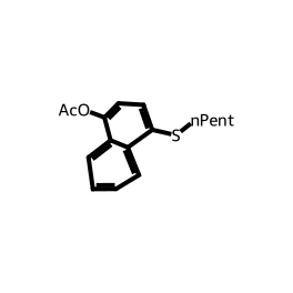 CCCCCSc1ccc(OC(C)=O)c2ccccc12